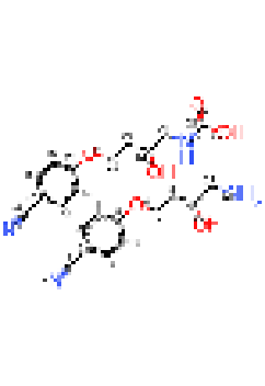 N#Cc1ccc(OCCC(O)CN)cc1.N#Cc1ccc(OCCC(O)CNC(=O)O)cc1